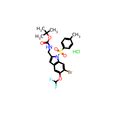 Cc1ccc(S(=O)(=O)n2c(CNC(=O)OC(C)(C)C)cc3cc(OC(F)F)c(Br)cc32)cc1.Cl